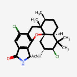 CC(=O)N[C@@H]1C[C@@]23Oc4c(c(Cl)cc5c4CNC5=O)C[C@]2(C)[C@@H](C)CC[C@H]3C(C)(C)[C@H]1Cl